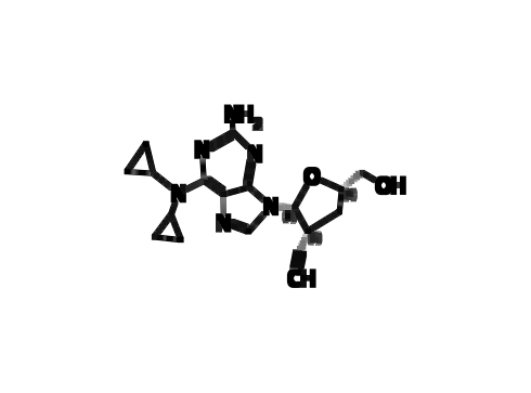 C#C[C@H]1C[C@@H](CO)O[C@H]1n1cnc2c(N(C3CC3)C3CC3)nc(N)nc21